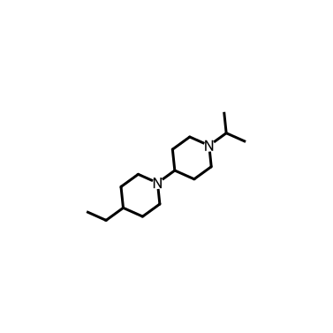 CCC1CCN(C2CCN(C(C)C)CC2)CC1